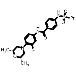 CC(C)S(=O)(=O)Nc1ccc(C(=O)Nc2ccc(N3C[C@@H](C)O[C@@H](C)C3)c(F)c2)cc1